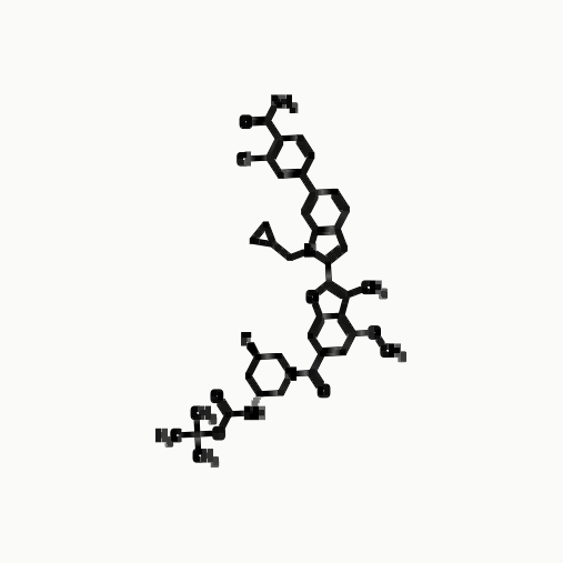 COc1cc(C(=O)N2C[C@H](F)C[C@@H](NC(=O)OC(C)(C)C)C2)cc2oc(-c3cc4ccc(-c5ccc(C(N)=O)c(Cl)c5)cc4n3CC3CC3)c(C)c12